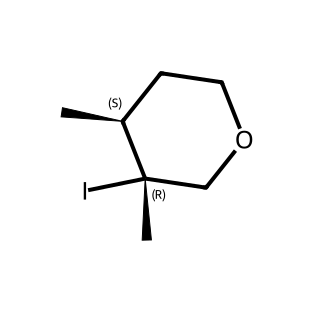 C[C@H]1CCOC[C@]1(C)I